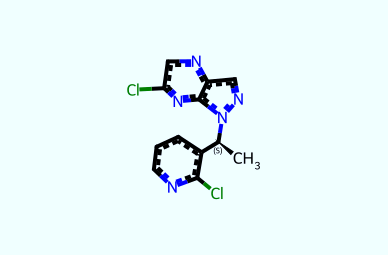 C[C@@H](c1cccnc1Cl)n1ncc2ncc(Cl)nc21